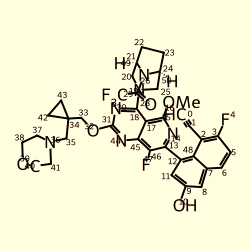 C#Cc1c(F)ccc2cc(O)cc(-c3nc(OC)c4c(N5C[C@H]6CC[C@@H](C5)N6C(=O)C(F)(F)F)nc(OCC5(CN6CCOCC6)CC5)nc4c3F)c12